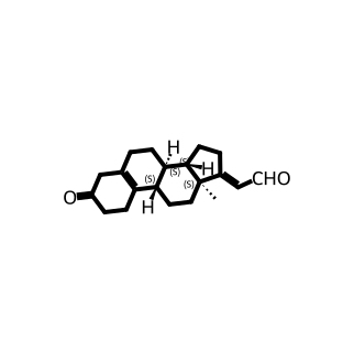 C[C@]12CC[C@@H]3C4=C(CC[C@H]3[C@@H]1CCC2=CC=O)CC(=O)CC4